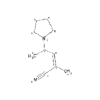 CC(C#N)=CC(C)N1CCCC1